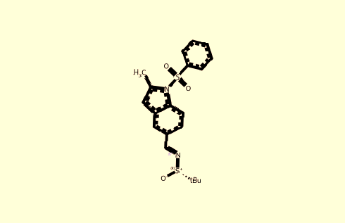 Cc1cc2cc(/C=N/[S@@+]([O-])C(C)(C)C)ccc2n1S(=O)(=O)c1ccccc1